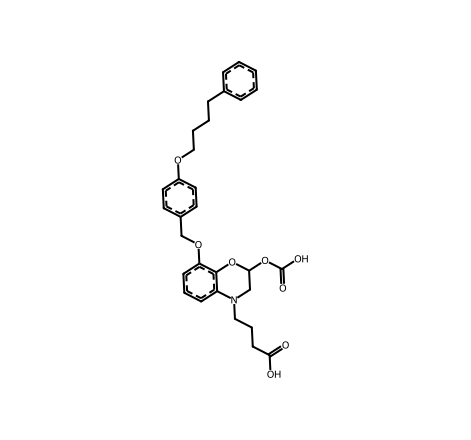 O=C(O)CCCN1CC(OC(=O)O)Oc2c(OCc3ccc(OCCCCc4ccccc4)cc3)cccc21